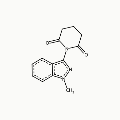 Cn1nc(N2C(=O)CCCC2=O)c2ccccc21